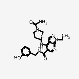 CCn1ncc2c(NC3CCN(C(N)=O)CC3)c(C(=O)NCc3cccc(O)c3)cnc21